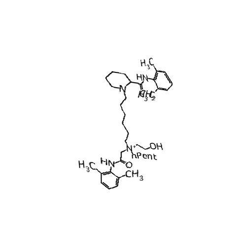 C=C(Nc1c(C)cccc1C)C1CCCCN1CCCCCC[N+](CCO)(CCCCC)CC(=O)Nc1c(C)cccc1C